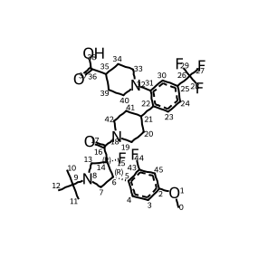 COc1ccc([C@@H]2CN(C(C)(C)C)C[C@@]2(F)C(=O)N2CCC(c3ccc(C(F)(F)F)cc3N3CCC(C(=O)O)CC3)CC2)c(F)c1